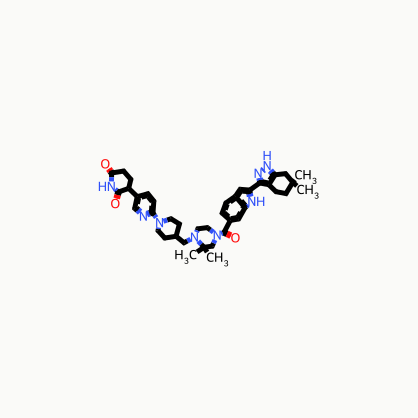 CC1(C)CCc2c(-c3cc4ccc(C(=O)N5CCN(CC6CCN(c7ccc(C8CCC(=O)NC8=O)cn7)CC6)C(C)(C)C5)cc4[nH]3)n[nH]c2C1